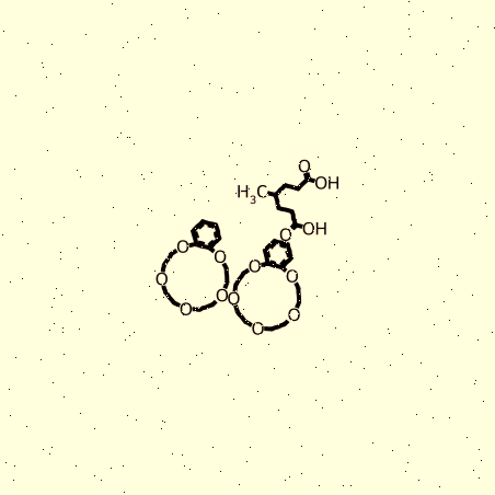 CC(CCC(=O)O)CCC(=O)O.c1ccc2c(c1)OCCOCCOCCOCCO2.c1ccc2c(c1)OCCOCCOCCOCCO2